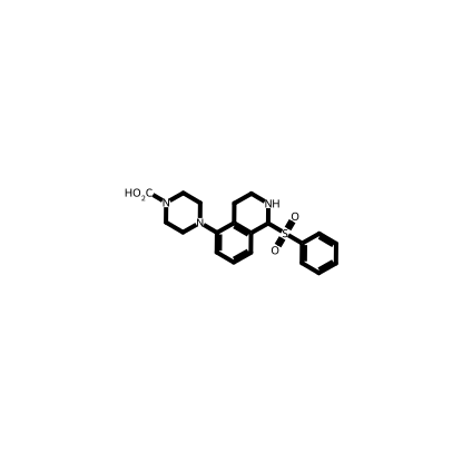 O=C(O)N1CCN(c2cccc3c2CCNC3S(=O)(=O)c2ccccc2)CC1